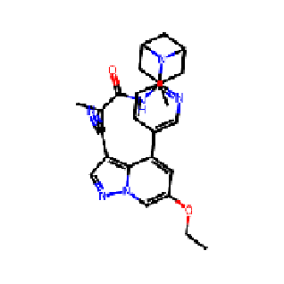 C=C(C)C(=O)NC1(C)CC2CC(C1)N2c1ccc(-c2cc(OCC)cn3ncc(C#N)c23)cn1